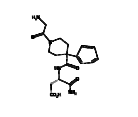 NCC(=O)N1CCC(C(=O)N[C@@H](CC(=O)O)C(N)=O)(c2ccccc2)CC1